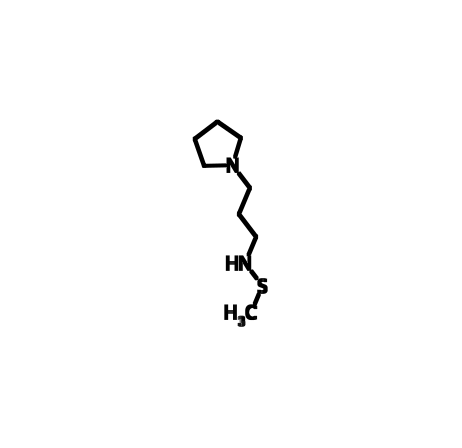 CSNCCCN1CCCC1